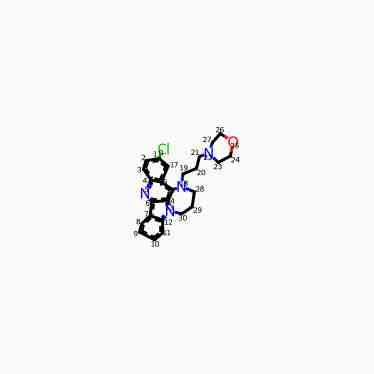 Clc1ccc2nc3c4ccccc4n4c3c(c2c1)N(CCCN1CCOCC1)CCC4